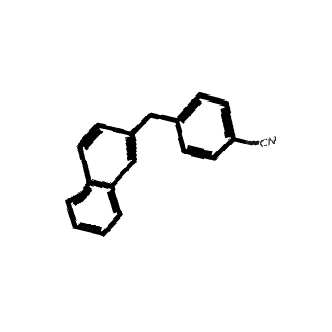 N#Cc1ccc(Cc2ccc3ccccc3c2)cc1